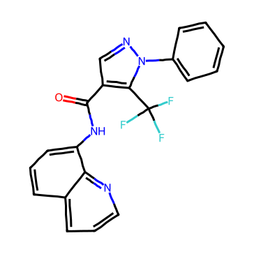 O=C(Nc1cccc2cccnc12)c1cnn(-c2ccccc2)c1C(F)(F)F